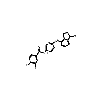 O=C(Nc1ccc(Oc2cccc3c2CCC3=O)nc1)c1ccc(Cl)c(Cl)c1